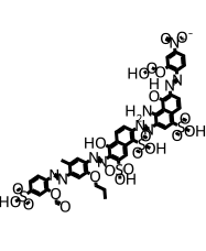 CCCOc1cc(N=Nc2ccc(S(=O)(=O)O)cc2OC=O)c(C)cc1N=Nc1c(S(=O)(=O)O)cc2c(S(=O)(=O)O)c(N=Nc3cc(S(=O)(=O)O)c4ccc(N=Nc5ccc([N+](=O)[O-])cc5OOO)c(O)c4c3N)ccc2c1O